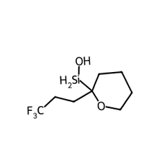 O[SiH2]C1(CCC(F)(F)F)CCCCO1